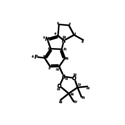 CC1CCc2nc3c(F)cc(B4OC(C)(C)C(C)(C)O4)cc3n21